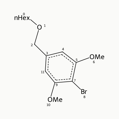 CCCCCCOCc1cc(OC)c(Br)c(OC)c1